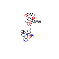 COC(=O)c1cc(C(=O)OC)c(OC(=O)CCCc2ccc(NC(=O)c3ccc(C)nc3-c3ccc(C(F)(F)F)cc3)c(C(=O)N(C)C)c2)c(C(C)C)c1